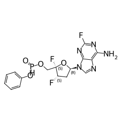 Nc1nc(F)nc2c1ncn2[C@H]1C[C@H](F)[C@@](F)(CO[PH](=O)Oc2ccccc2)O1